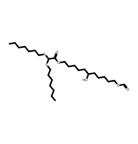 CCCCCCCSC(SCCCCCCC)C(=O)OCCCCCC(O)CCCCCOC=O